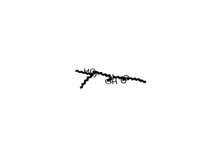 CCCCCCCCCCOC(=O)CCCCCN(CCO)CCCCCCCC(O)OC(CCCCCCCC)CCCCCCCC